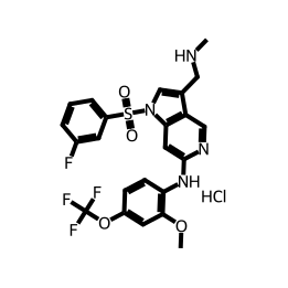 CNCc1cn(S(=O)(=O)c2cccc(F)c2)c2cc(Nc3ccc(OC(F)(F)F)cc3OC)ncc12.Cl